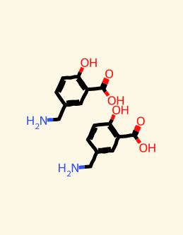 NCc1ccc(O)c(C(=O)O)c1.NCc1ccc(O)c(C(=O)O)c1